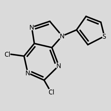 Clc1nc(Cl)c2ncn(-c3ccsc3)c2n1